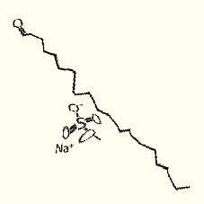 CCCCCCCCCCCCCCCCCC=O.COS(=O)(=O)[O-].[Na+]